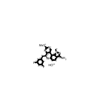 CSc1ncc(-c2cccc3c(N)nn(C)c23)c([C@@H](N)Cc2cc(F)cc(F)c2)n1.Cl